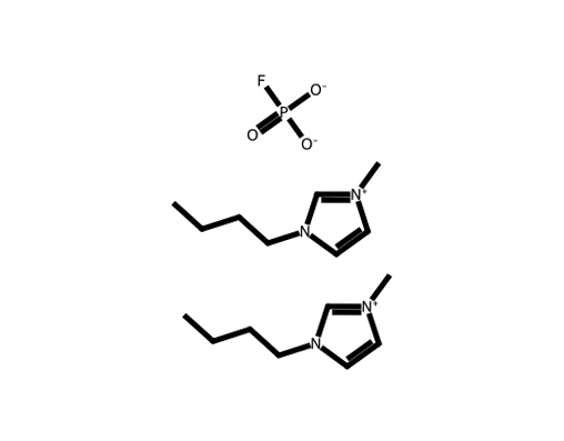 CCCCn1cc[n+](C)c1.CCCCn1cc[n+](C)c1.O=P([O-])([O-])F